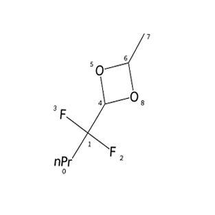 CCCC(F)(F)C1OC(C)O1